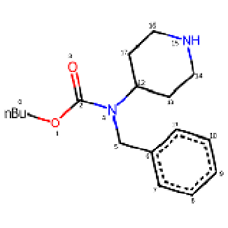 CCCCOC(=O)N(Cc1ccccc1)C1CCNCC1